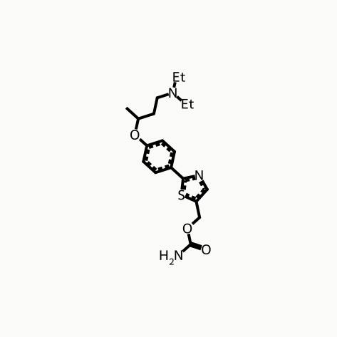 CCN(CC)CCC(C)Oc1ccc(-c2ncc(COC(N)=O)s2)cc1